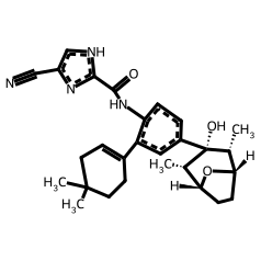 C[C@@H]1[C@@H]2CC[C@@H](O2)[C@H](C)[C@@]1(O)c1ccc(NC(=O)c2nc(C#N)c[nH]2)c(C2=CCC(C)(C)CC2)c1